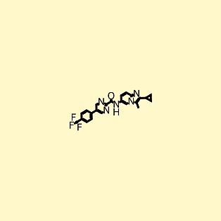 Cc1c(C2CC2)nc2ccc(NC(=O)c3ncc(-c4ccc(C(F)(F)F)cc4)cn3)cn12